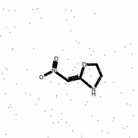 O=[N+]([O-])C=C1NCCO1